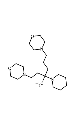 [CH2]C(CCCN1CCOCC1)(CCN1CCOCC1)N1CCCCC1